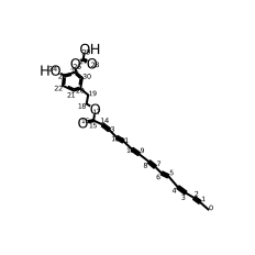 CC#CC#CC#CC#CC#CC#CC#CC(=O)OCCc1ccc(O)c(OC(=O)O)c1